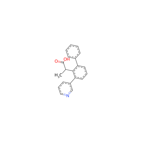 CC(C(=O)O)c1c(-c2ccccc2)cccc1-c1cccnc1